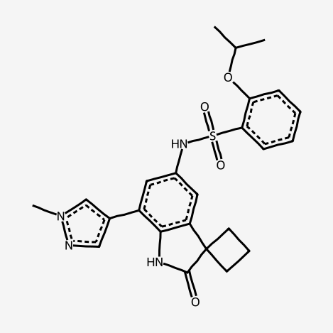 CC(C)Oc1ccccc1S(=O)(=O)Nc1cc(-c2cnn(C)c2)c2c(c1)C1(CCC1)C(=O)N2